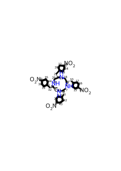 O=[N+]([O-])c1ccc(C[C@H]2CN[C@@H](Cc3ccc([N+](=O)[O-])cc3)CN[C@@H](Cc3ccc([N+](=O)[O-])cc3)CN[C@@H](Cc3ccc([N+](=O)[O-])cc3)CN2)cc1